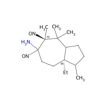 CC[C@]12CCC(N)(N=O)[C@@](C)(N=O)C(C)(C)C1CCC2C